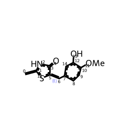 C=c1[nH]c(=O)/c(=C\c2ccc(OC)c(O)c2)s1